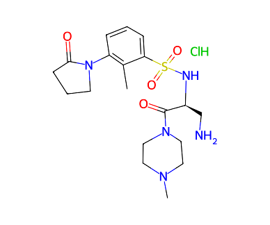 Cc1c(N2CCCC2=O)cccc1S(=O)(=O)N[C@@H](CN)C(=O)N1CCN(C)CC1.Cl